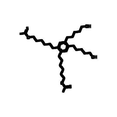 CC(=S)OCCCCCCc1cc(CCCCCO)c(CCCCCO)cc1CCCCCCOC(C)=S